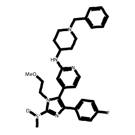 COCCn1c([S+](C)[O-])nc(-c2ccc(F)cc2)c1-c1ccnc(NC2CCN(Cc3ccccc3)CC2)c1